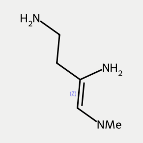 CN/C=C(\N)CCN